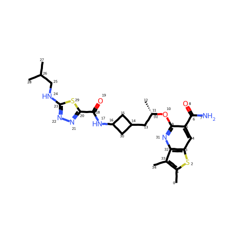 Cc1sc2cc(C(N)=O)c(O[C@@H](C)CC3CC(NC(=O)c4nnc(NCC(C)C)s4)C3)nc2c1C